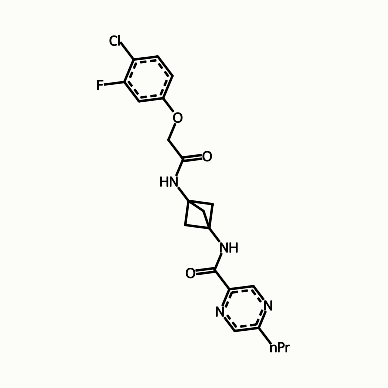 CCCc1cnc(C(=O)NC23CC(NC(=O)COc4ccc(Cl)c(F)c4)(C2)C3)cn1